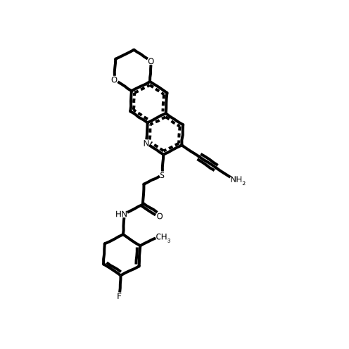 CC1=CC(F)=CCC1NC(=O)CSc1nc2cc3c(cc2cc1C#CN)OCCO3